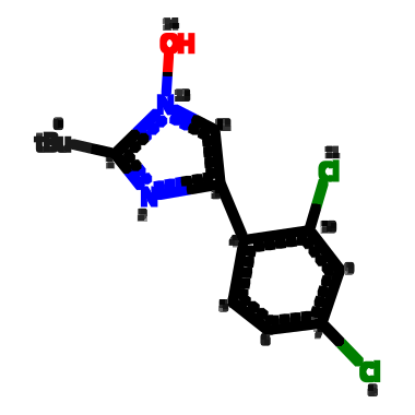 CC(C)(C)c1nc(-c2ccc(Cl)cc2Cl)cn1O